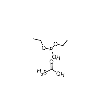 BC(=O)O.CCOP(O)OCC